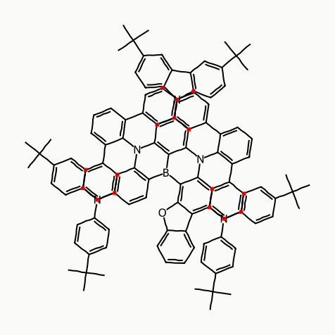 CC(C)(C)c1ccc(N(c2ccc(C(C)(C)C)cc2)c2ccc3c(c2)N(c2c(-c4ccccc4)cccc2-c2ccccc2)c2cc(-n4c5ccc(C(C)(C)C)cc5c5cc(C(C)(C)C)ccc54)cc4c2B3c2c(cc(N(c3ccc(C(C)(C)C)cc3)c3ccc(C(C)(C)C)cc3)c3c2oc2ccccc23)N4c2c(-c3ccccc3)cccc2-c2ccccc2)cc1